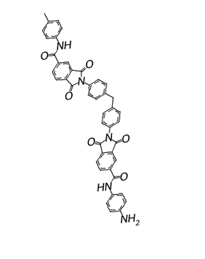 Cc1ccc(NC(=O)c2ccc3c(c2)C(=O)N(c2ccc(Cc4ccc(N5C(=O)c6ccc(C(=O)Nc7ccc(N)cc7)cc6C5=O)cc4)cc2)C3=O)cc1